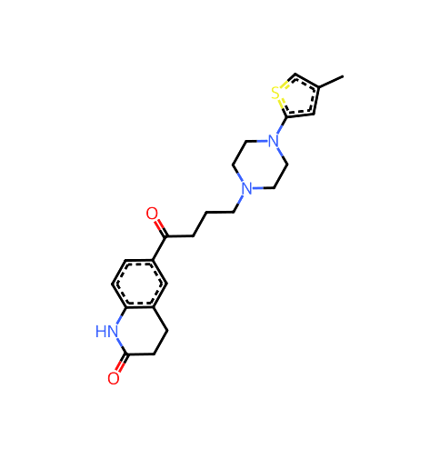 Cc1csc(N2CCN(CCCC(=O)c3ccc4c(c3)CCC(=O)N4)CC2)c1